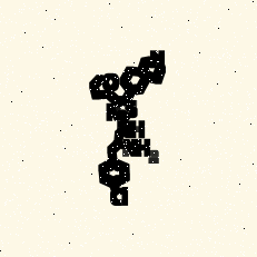 N[C@H](CNc1nc(C2CCCO2)c(C2=Cc3ccncc3CC2)s1)Cc1ccc(Cl)cc1